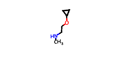 CNCCOC1CC1